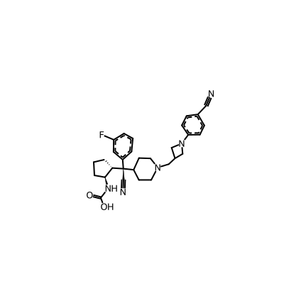 N#Cc1ccc(N2CC(CN3CCC([C@@](C#N)(c4cccc(F)c4)[C@H]4CCC[C@@H]4NC(=O)O)CC3)C2)cc1